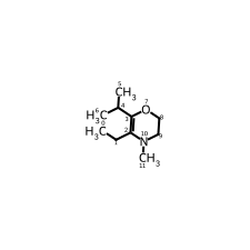 CCC1=C(C(C)C)OCCN1C